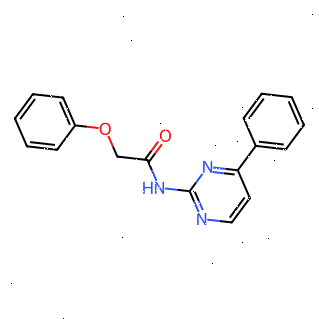 O=C(COc1ccccc1)Nc1nccc(-c2ccccc2)n1